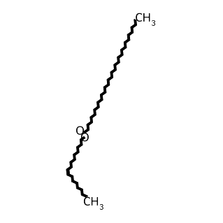 CCCCCCCC/C=C\CCCCCCCCOC(=O)CCCCCCCCCCCCCCCCCCCCCCCCCCCCCCC